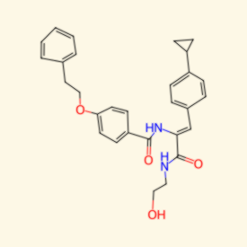 O=C(NCCO)C(=Cc1ccc(C2CC2)cc1)NC(=O)c1ccc(OCCc2ccccc2)cc1